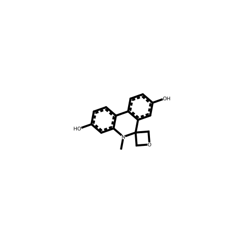 CN1c2cc(O)ccc2-c2ccc(O)cc2C12COC2